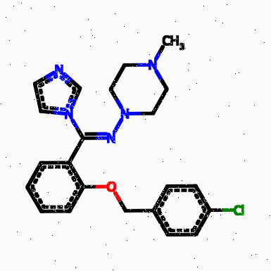 CN1CCN(/N=C(/c2ccccc2OCc2ccc(Cl)cc2)n2ccnc2)CC1